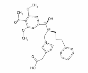 COc1cc([C@@H](O)[C@@H](CCCc2ccccc2)Cn2ccc(CC(=O)O)c2)cc(OC)c1C(C)=O